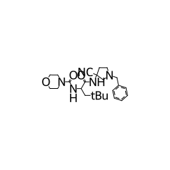 CC(C)(C)CC(NC(=O)N1CCOCC1)C(=O)NC1(C#N)CCN(Cc2ccccc2)C1